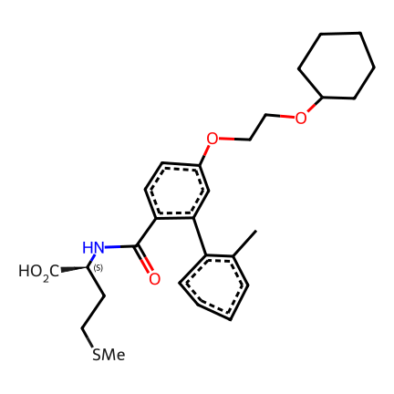 CSCC[C@H](NC(=O)c1ccc(OCCOC2CCCCC2)cc1-c1ccccc1C)C(=O)O